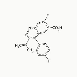 C=C(C)c1cnc2cc(F)c(C(=O)O)cc2c1-c1ccc(F)cc1